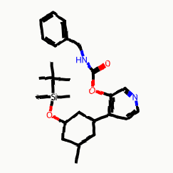 CC1CC(O[Si](C)(C)C(C)(C)C)CC(c2ccncc2OC(=O)NCc2ccccc2)C1